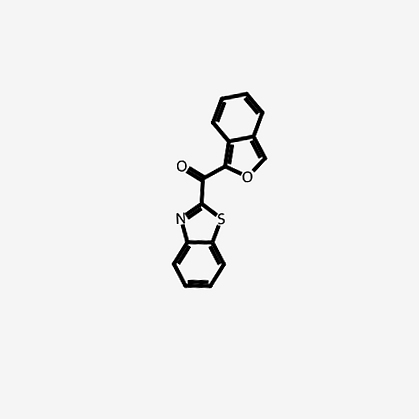 O=C(c1nc2ccccc2s1)c1occ2ccccc12